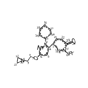 CC(C)n1nc(-c2cc(OCCN3CC3)nn2-c2ccccc2)ccc1=O